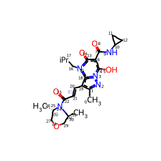 Cc1nn2c(O)c(C(=O)NC3CC3)c(=O)n(CC(C)C)c2c1/C=C/C(=O)N1[C@@H](C)COC[C@@H]1C